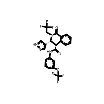 O=C(Nc1cccc(OC(F)(F)F)c1)[C@@H]1c2ccccc2C(=O)N(CC(F)(F)F)[C@H]1c1cn[nH]c1